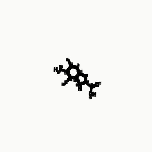 Cc1cc2cc(C(=O)O)[nH]c2c(F)c1P